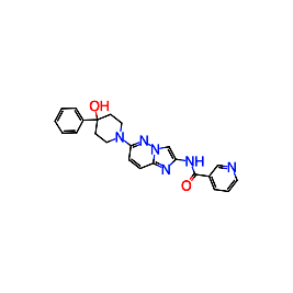 O=C(Nc1cn2nc(N3CCC(O)(c4ccccc4)CC3)ccc2n1)c1cccnc1